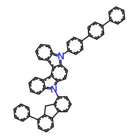 c1ccc(-c2ccc(-c3ccc(-n4c5ccccc5c5c6c7ccccc7n(-c7cccc8c7Cc7c(-c9ccccc9)cccc7-8)c6ccc54)cc3)cc2)cc1